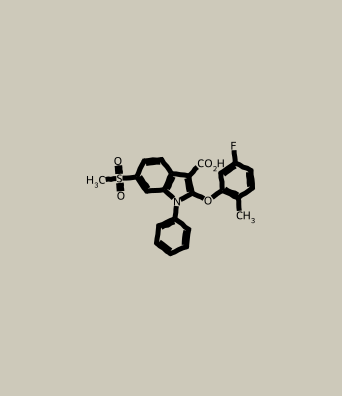 Cc1ccc(F)cc1Oc1c(C(=O)O)c2ccc(S(C)(=O)=O)cc2n1-c1ccccc1